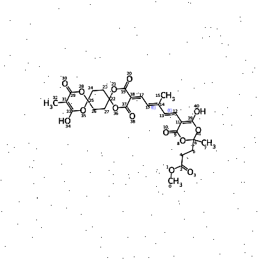 COC(=O)CCC1(C)OC(=O)C(/C=C/C(C)=C/C=C2C(=O)OC3(CCC4(CC3)OC(=O)C(C)=C(O)O4)OC2=O)=C(O)O1